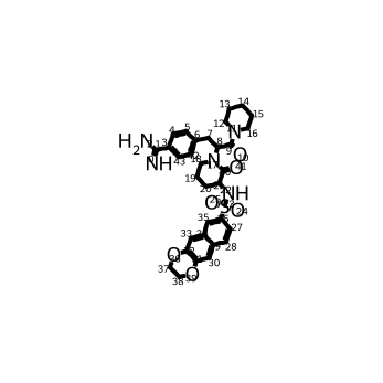 N=C(N)c1ccc(CC(C(=O)N2CCCCC2)N2CCCC(NS(=O)(=O)c3ccc4cc5c(cc4c3)OCCO5)C2=O)cc1